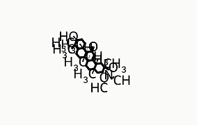 C#CON(C#C)C(=O)[C@@]1(C)CC[C@]2(C)CC[C@]3(C)C(=CC(=O)[C@@H]4[C@@]5(C)CC[C@H](O)C(C)(C)C5CC[C@]43C)[C@@H]2C1